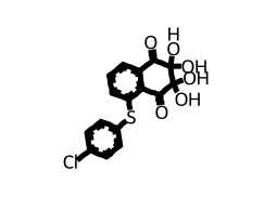 O=C1c2cccc(Sc3ccc(Cl)cc3)c2C(=O)C(O)(O)C1(O)O